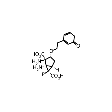 N[C@@]12[C@@H](C[C@@H](OCCC3=CC(=O)CC=C3)[C@@]1(N)C(=O)O)[C@]2(F)C(=O)O